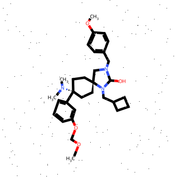 COCOc1cccc([C@]2(N(C)C)CC[C@@]3(CC2)CN(Cc2ccc(OC)cc2)C(O)N3CC2CCC2)c1